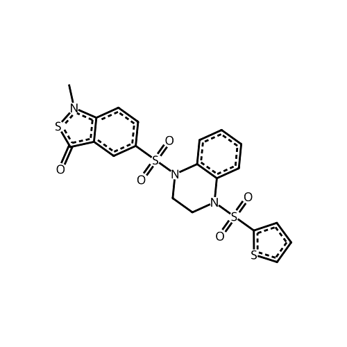 Cn1sc(=O)c2cc(S(=O)(=O)N3CCN(S(=O)(=O)c4cccs4)c4ccccc43)ccc21